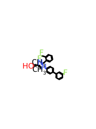 CC(C)(O)c1cn(-c2ccc(-c3cccc(F)c3)cc2)c(-c2ccccc2C(F)F)n1